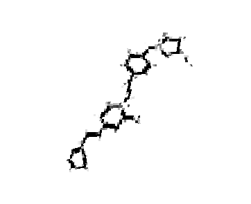 O=c1cc(C=Cc2ccccc2)ccn1CCc1ccc(CN2CC[C@H](F)C2)cc1